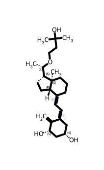 C=C1/C(=C\C=C2/CCC[C@]3(C)[C@@H]([C@H](C)OCCC(C)(C)O)CC[C@@H]23)C[C@H](O)C[C@@H]1O